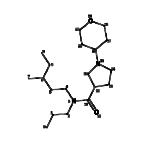 CCCN(CCC(C)CC)C(=O)C1CCN(C2CCOCC2)C1